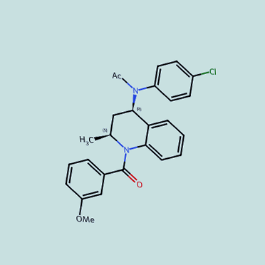 COc1cccc(C(=O)N2c3ccccc3[C@H](N(C(C)=O)c3ccc(Cl)cc3)C[C@@H]2C)c1